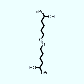 CCCC(O)CCCCOOCCCCC(O)CCC